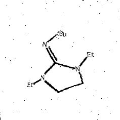 CCN1CCN(CC)C1=NC(C)(C)C